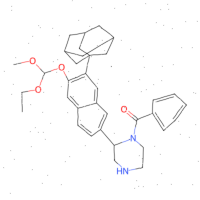 CCOC(OC)Oc1cc2ccc(C3CNCCN3C(=O)c3ccccc3)cc2cc1C12CC3CC(CC(C3)C1)C2